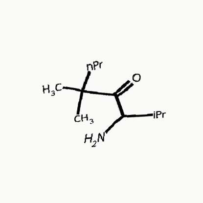 CCCC(C)(C)C(=O)C(N)C(C)C